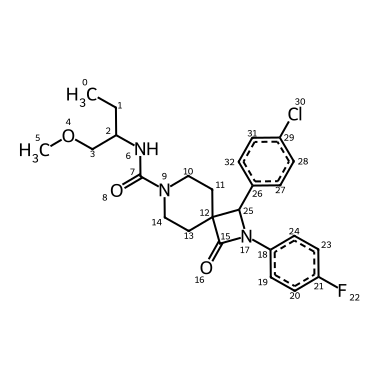 CCC(COC)NC(=O)N1CCC2(CC1)C(=O)N(c1ccc(F)cc1)C2c1ccc(Cl)cc1